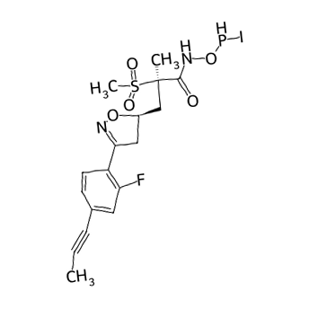 CC#Cc1ccc(C2=NO[C@@H](C[C@](C)(C(=O)NOPI)S(C)(=O)=O)C2)c(F)c1